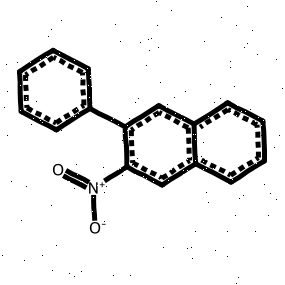 O=[N+]([O-])c1cc2ccccc2cc1-c1ccccc1